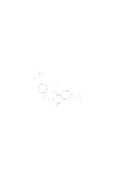 O=[SH](=O)c1ccc(Nc2ncc3cc(C(F)(F)F)cc(Br)c3n2)cc1